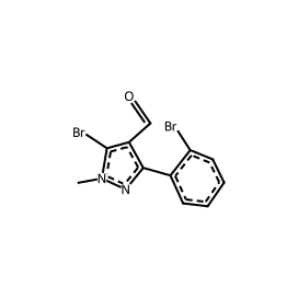 Cn1nc(-c2ccccc2Br)c(C=O)c1Br